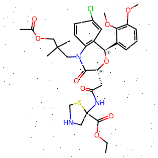 CCOC(=O)C1(NC(=O)C[C@H]2O[C@H](c3cccc(OC)c3OC)c3cc(Cl)ccc3N(CC(C)(C)COC(C)=O)C2=O)CNCS1